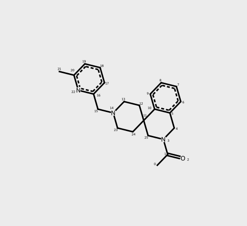 CC(=O)N1Cc2ccccc2C2(CCN(Cc3cccc(C)n3)CC2)C1